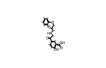 O=C(CNCC1COc2ccccc2O1)c1ccc(O)c(C(=O)O)c1